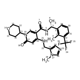 Cc1c([C@@H](C)NC(=O)c2cn(C3CCOCC3)c(=O)cc2NCc2cncn2C)cccc1C(F)(F)F